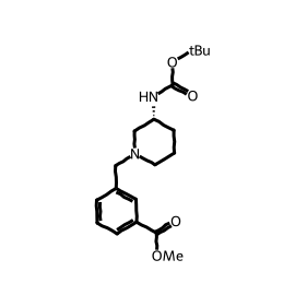 COC(=O)c1cccc(CN2CCC[C@@H](NC(=O)OC(C)(C)C)C2)c1